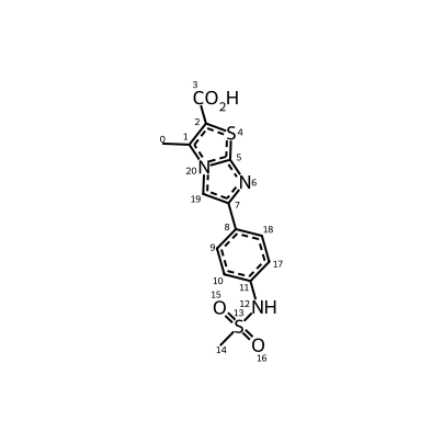 Cc1c(C(=O)O)sc2nc(-c3ccc(NS(C)(=O)=O)cc3)cn12